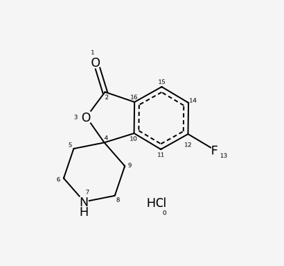 Cl.O=C1OC2(CCNCC2)c2cc(F)ccc21